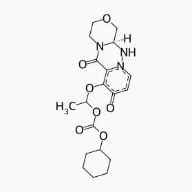 CC(OC(=O)OC1CCCCC1)Oc1c2n(ccc1=O)N[C@@H]1COCCN1C2=O